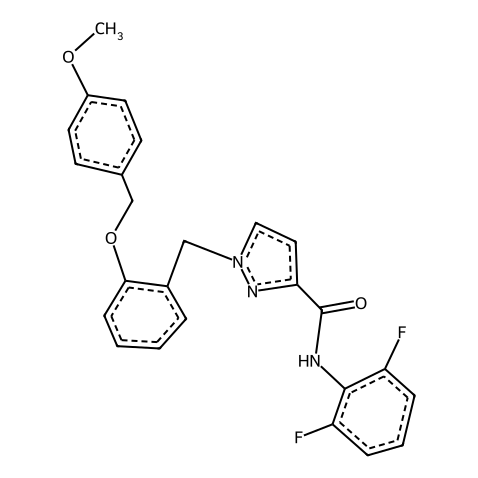 COc1ccc(COc2ccccc2Cn2ccc(C(=O)Nc3c(F)cccc3F)n2)cc1